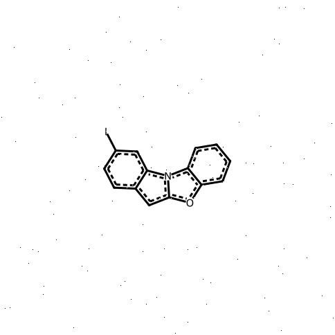 Ic1ccc2cc3oc4ccccc4n3c2c1